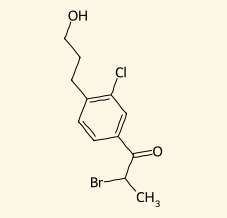 CC(Br)C(=O)c1ccc(CCCO)c(Cl)c1